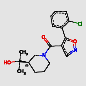 CC(C)(O)[C@@H]1CCCN(C(=O)c2cnoc2-c2ccccc2Cl)C1